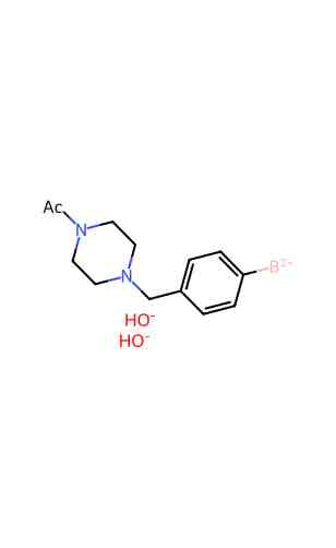 [B+2]c1ccc(CN2CCN(C(C)=O)CC2)cc1.[OH-].[OH-]